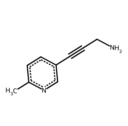 Cc1ccc(C#CCN)cn1